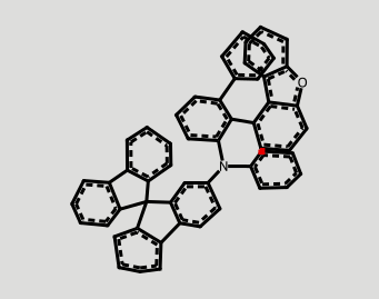 c1ccc(-c2cccc(N(c3ccccc3)c3ccc4c(c3)C3(c5ccccc5-c5ccccc53)c3ccccc3-4)c2-c2cccc3oc4ccccc4c23)cc1